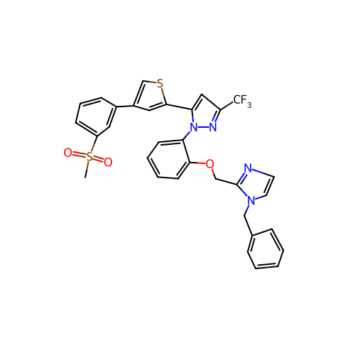 CS(=O)(=O)c1cccc(-c2csc(-c3cc(C(F)(F)F)nn3-c3ccccc3OCc3nccn3Cc3ccccc3)c2)c1